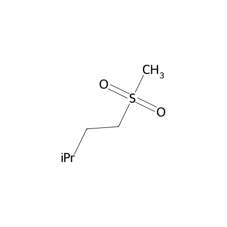 CC(C)CCS(C)(=O)=O